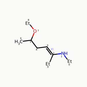 CCN/C(=C/CC(C)OCC)CC